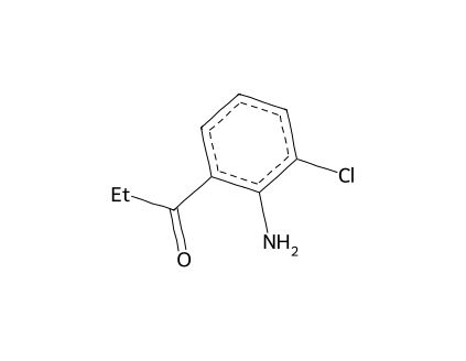 CCC(=O)c1cccc(Cl)c1N